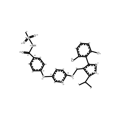 CC(C)c1onc(-c2c(Cl)cccc2Cl)c1COc1ccc(Oc2ccc(C(=O)NS(C)(=O)=O)cc2)cn1